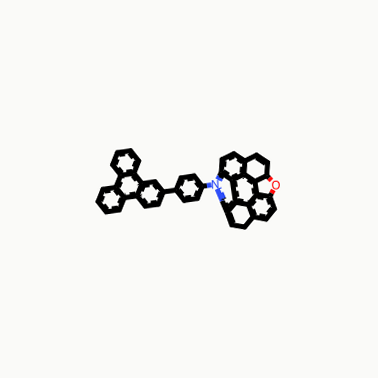 C1=CC2Oc3ccc4c5c3c2c2c1ccc1c2c5c(n1-c1ccc(-c2ccc3c5ccccc5c5ccccc5c3c2)cc1)=CC4